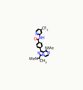 CNc1nccn2c(C(C)NC)nc(-c3ccc(C(=O)Nc4cc(C(F)(F)F)ccn4)cc3)c12